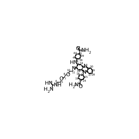 N=C(N)NCCOCCOCC/N=c1\cc2n(-c3ccc(C(N)=O)cc3)c3ccccc3nc-2cc1Nc1ccc(C(N)=O)cc1